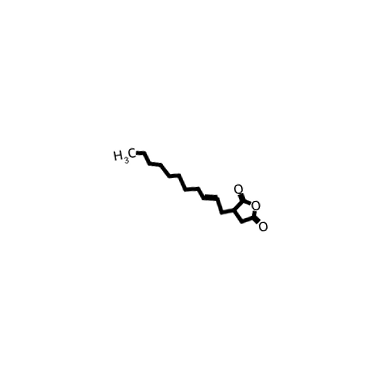 CCCCCCCCC=CCC1CC(=O)OC1=O